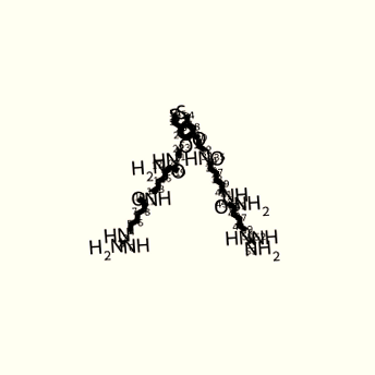 N=C(N)NCCCCCC(=O)NCCCC[C@H](N)C(=O)NCCOc1cc2c(cc1OCCNC(=O)CCCCCNC(=O)[C@@H](N)CCCCNC(=N)N)CSSC2